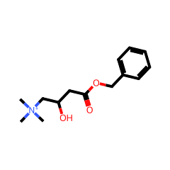 C[N+](C)(C)CC(O)CC(=O)OCc1ccccc1